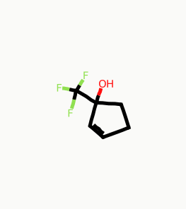 OC1(C(F)(F)F)C=CCC1